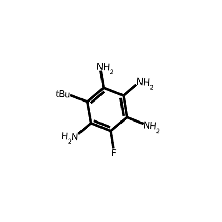 CC(C)(C)c1c(N)c(N)c(N)c(F)c1N